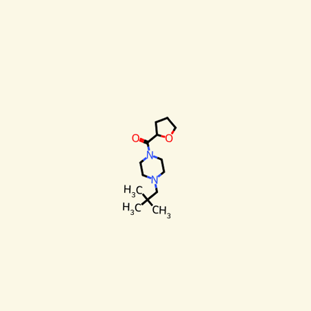 CC(C)(C)CN1CCN(C(=O)C2CCCO2)CC1